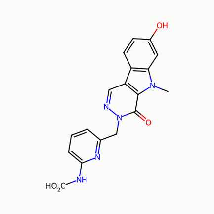 Cn1c2cc(O)ccc2c2cnn(Cc3cccc(NC(=O)O)n3)c(=O)c21